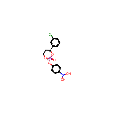 O=[P@@]1(Oc2ccc(N(O)O)cc2)OCC[C@@H](c2cccc(Cl)c2)O1